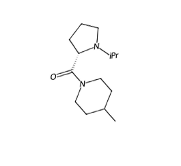 CC1CCN(C(=O)[C@@H]2CCCN2C(C)C)CC1